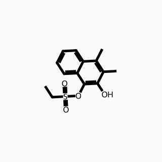 CCS(=O)(=O)Oc1c(O)c(C)c(C)c2ccccc12